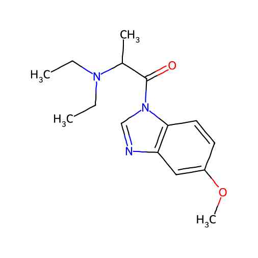 CCN(CC)C(C)C(=O)n1cnc2cc(OC)ccc21